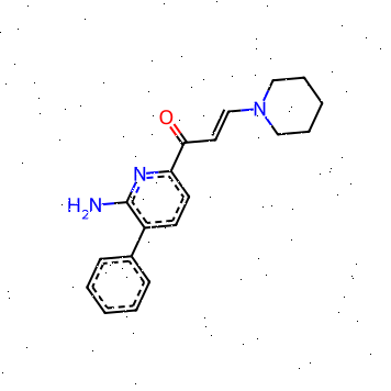 Nc1nc(C(=O)C=CN2CCCCC2)ccc1-c1ccccc1